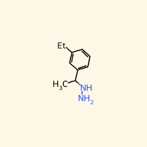 CCc1cccc(C(C)NN)c1